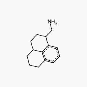 NCC1CCC2CCCc3cccc1c32